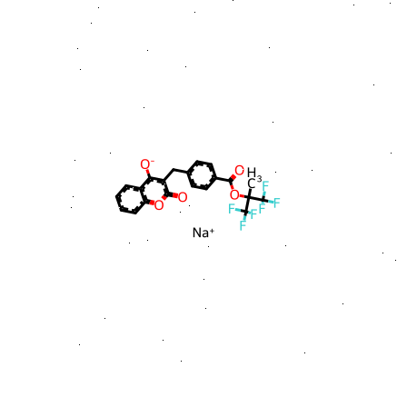 CC(OC(=O)c1ccc(Cc2c([O-])c3ccccc3oc2=O)cc1)(C(F)(F)F)C(F)(F)F.[Na+]